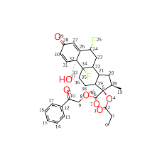 CCC(=O)O[C@]1(C(=O)OCC(=O)c2ccccc2)[C@H](C)CC2C3C[C@H](F)C4=CC(=O)C=C[C@]4(C)[C@@]3(F)[C@@H](O)C[C@@]21C